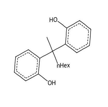 CCCCCCC(C)(c1ccccc1O)c1ccccc1O